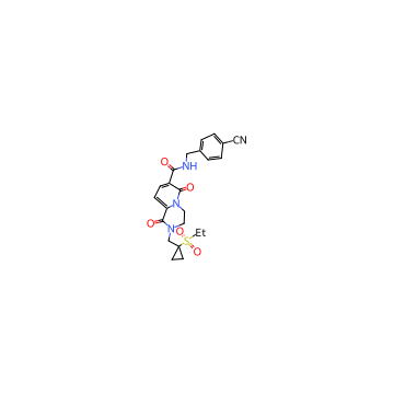 CCS(=O)(=O)C1(CN2CCn3c(ccc(C(=O)NCc4ccc(C#N)cc4)c3=O)C2=O)CC1